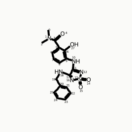 CN(C)C(=O)c1cccc(NC2=NS(=O)(=O)N=C2NCc2ccccc2)c1O